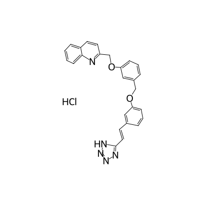 C(=C\c1nnn[nH]1)/c1cccc(OCc2cccc(OCc3ccc4ccccc4n3)c2)c1.Cl